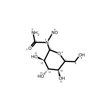 NC(=O)N(N=O)C1OC(CO)[C@@H](O)[C@H](O)[C@H]1O